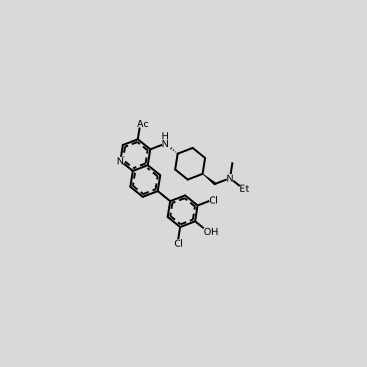 CCN(C)C[C@H]1CC[C@H](Nc2c(C(C)=O)cnc3ccc(-c4cc(Cl)c(O)c(Cl)c4)cc23)CC1